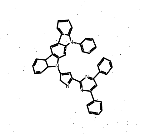 C1=CC2c3cc4c5ccccc5n(-c5ccccc5)c4cc3N(C3=CC(c4nc(-c5ccccc5)cc(-c5ccccc5)n4)=NC3)C2C=C1